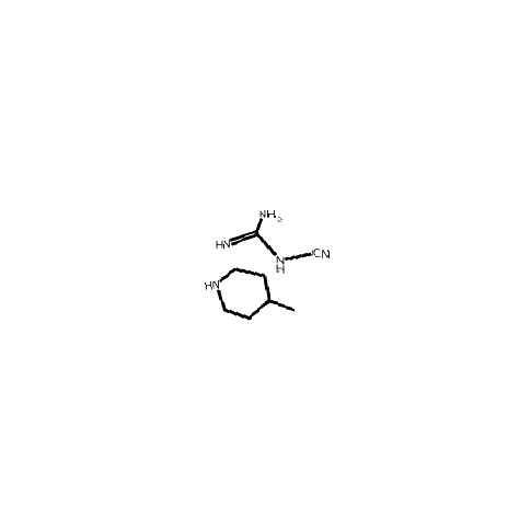 CC1CCNCC1.N#CNC(=N)N